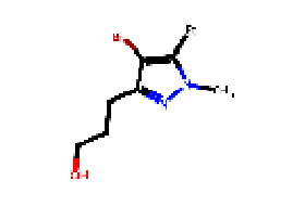 CCc1c(Br)c(CCCO)nn1C